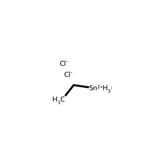 C[CH2][SnH3+2].[Cl-].[Cl-]